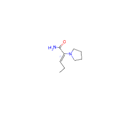 CC/C=C(/C(N)=O)N1CCCC1